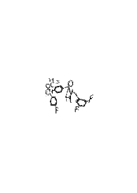 Cc1cc(C(=O)NCc2cc(F)cc(F)c2)ccc1N1C(=O)CSC1c1ccc(F)cc1